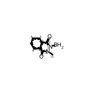 Bn1c(=O)c2ccccc2c(=O)n1C